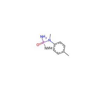 CNP(N)(=O)N(C)c1ccc(C)cc1